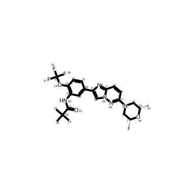 C[C@@H]1CN(c2ccc3nc(-c4ccc(OC(F)(F)F)c(NC(=O)C(C)(C)C)c4)cn3n2)C[C@H](C)O1